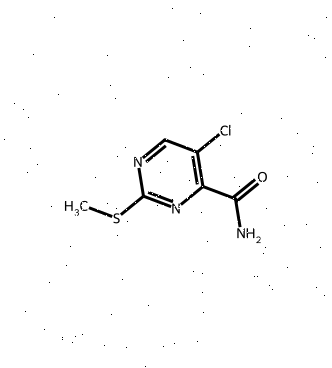 CSc1ncc(Cl)c(C(N)=O)n1